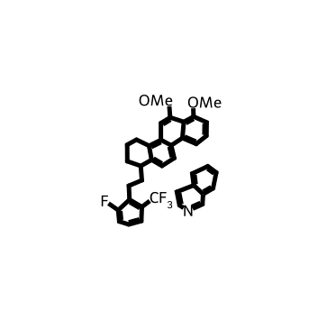 COc1cccc2c1c(OC)cc1c3c(ccc12)C(CCc1c(F)cccc1C(F)(F)F)CCC3.c1ccc2cnccc2c1